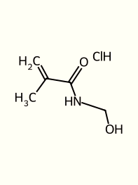 C=C(C)C(=O)NCO.Cl